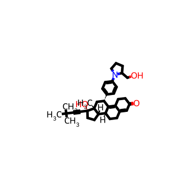 CC(C)(C)C#C[C@]1(O)CC[C@H]2[C@@H]3CCC4=CC(=O)CCC4=C3[C@@H](c3ccc(N4CCCC4CO)cc3)C[C@@]21C